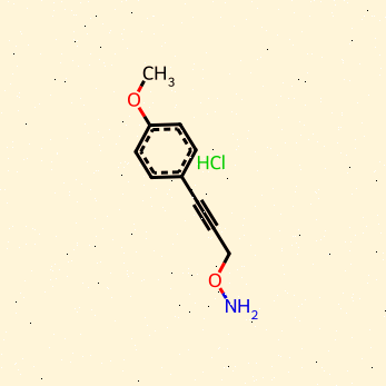 COc1ccc(C#CCON)cc1.Cl